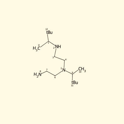 CC(NCCN(CCN)C(C)C(C)(C)C)C(C)(C)C